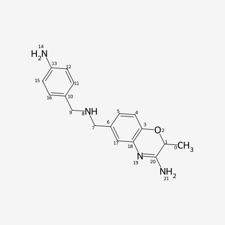 CC1Oc2ccc(CNCc3ccc(N)cc3)cc2N=C1N